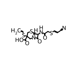 C=CSC1(C(=O)O)CS[C@@H]2C(NC(=O)CSC=CC#N)C(=O)N2C1